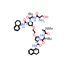 CN[C@@H](C)C(=O)N[C@H](C(=O)N1C[C@@H](OCCO[C@H]2C[C@@H](C(=O)N[C@@H]3CCCc4ccccc43)N(C(=O)[C@@H](NC(=O)[C@@H](N)CO)C(C)(C)C)C2)C[C@H]1C(=O)N[C@@H]1CCCc2ccccc21)C(C)(C)C